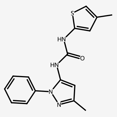 Cc1csc(NC(=O)Nc2cc(C)nn2-c2ccccc2)c1